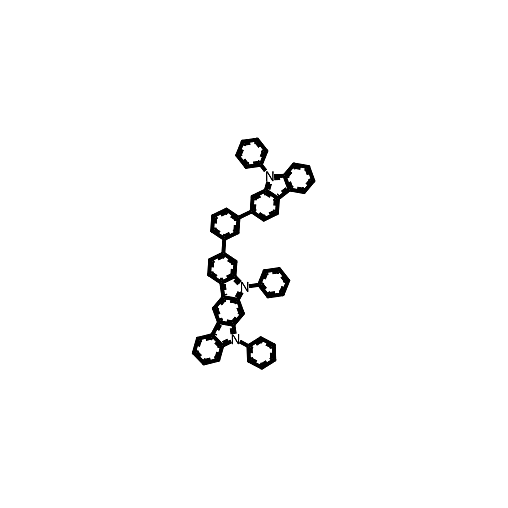 c1ccc(-n2c3ccccc3c3ccc(-c4cccc(-c5ccc6c7cc8c9ccccc9n(-c9ccccc9)c8cc7n(-c7ccccc7)c6c5)c4)cc32)cc1